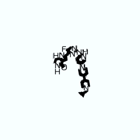 O=C1NCCc2[nH]c(-c3nc(Nc4ccc(N5CCC(C6CCN(CC7CC7)CC6)CC5)cn4)ncc3F)cc21